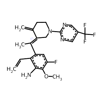 C=Cc1c(/C(C)=C2\CN(c3ncc(C(F)(F)F)cn3)CCC2=C)cc(F)c(OC)c1N